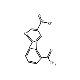 CC(=O)c1cccc2c1-c1cc([N+](=O)[O-])cnc1-2